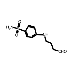 NS(=O)(=O)c1ccc(NCCCC=O)cc1